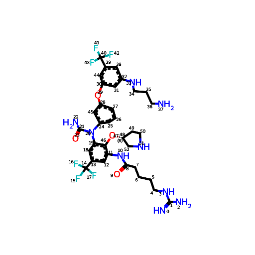 N=C(N)NCCCCC(=O)Nc1cc(C(F)(F)F)cc(N(C(N)=O)c2cccc(Oc3cc(NCCCN)cc(C(F)(F)F)c3)c2)c1O[C@@H]1CCNC1